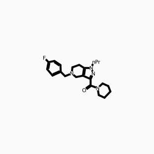 CCCn1nc(C(=O)N2CCCCC2)c2c1CCN(Cc1ccc(F)cc1)C2